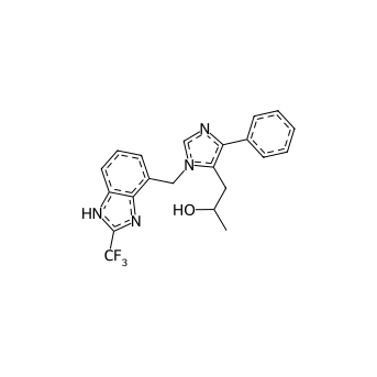 CC(O)Cc1c(-c2ccccc2)ncn1Cc1cccc2[nH]c(C(F)(F)F)nc12